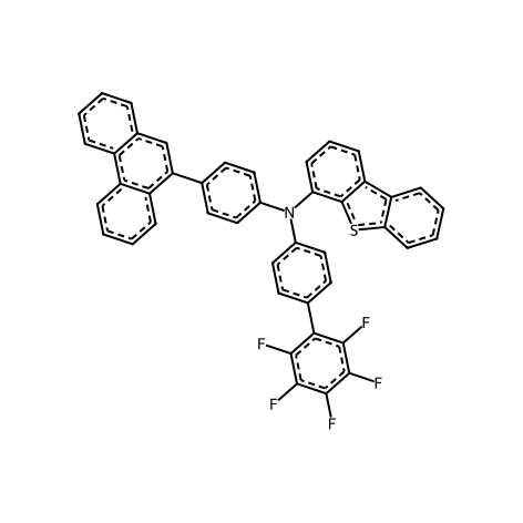 Fc1c(F)c(F)c(-c2ccc(N(c3ccc(-c4cc5ccccc5c5ccccc45)cc3)c3cccc4c3sc3ccccc34)cc2)c(F)c1F